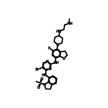 CNCCNC1CCN(c2c(F)cc(Nc3ncc(Br)c(Nc4cccc5c4N(S(C)(=O)=O)CC5)n3)c3c2CCO3)CC1